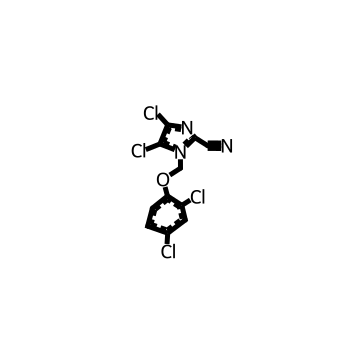 N#Cc1nc(Cl)c(Cl)n1COc1ccc(Cl)cc1Cl